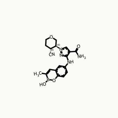 CC1=Cc2cc(Nc3nn([C@@H]4COCC[C@H]4C#N)cc3C(N)=O)ccc2OB1O